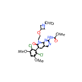 COC(=O)Nc1ncc2cc(-c3c(Cl)c(OC)cc(OC)c3Cl)c(=O)n(CCOC3CN(C=O)C3)c2n1